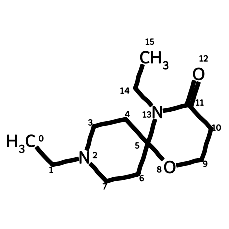 CCN1CCC2(CC1)OCCC(=O)N2CC